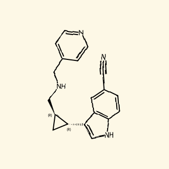 N#Cc1ccc2[nH]cc([C@@H]3C[C@H]3CNCc3ccncc3)c2c1